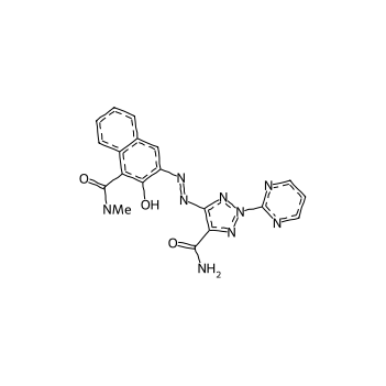 CNC(=O)c1c(O)c(/N=N/c2nn(-c3ncccn3)nc2C(N)=O)cc2ccccc12